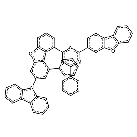 c1ccc(-c2nc(-c3ccc4c(c3)oc3ccccc34)nc(-c3cccc4oc5cc(-n6c7ccccc7c7ccccc76)cc(-c6ccccc6)c5c34)n2)cc1